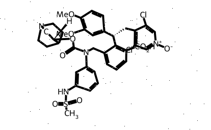 COc1ccc([C@H](Cc2c(Cl)c[n+]([O-])cc2Cl)c2c(CN(C(=O)O[C@H]3CN4CCC3CC4)c3cccc(NS(C)(=O)=O)c3)cccc2C(=O)O)cc1OC